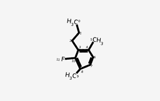 CCCc1c(C)ccc(C)c1F